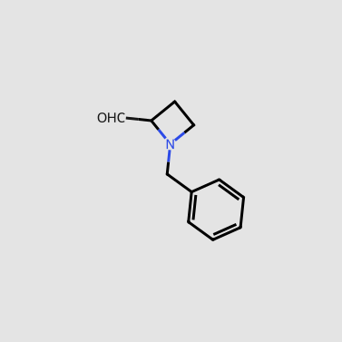 O=CC1CCN1Cc1ccccc1